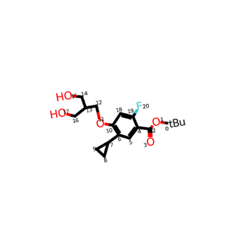 CC(C)(C)OC(=O)c1cc(C2CC2)c(OCC(CO)CO)cc1F